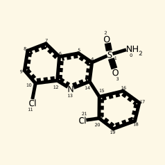 NS(=O)(=O)c1cc2cccc(Cl)c2nc1-c1ccccc1Cl